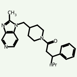 CCCC(CC(=O)N1CCC(Cn2c(C)nc3cnccc32)CC1)c1ccccc1